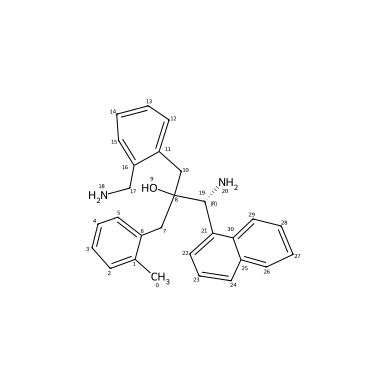 Cc1ccccc1CC(O)(Cc1ccccc1CN)[C@H](N)c1cccc2ccccc12